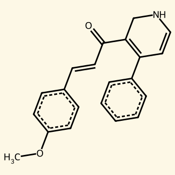 COc1ccc(/C=C/C(=O)C2=C(c3ccccc3)C=CNC2)cc1